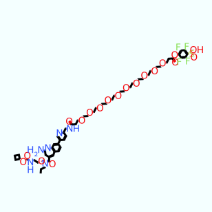 CCCN(OCCNC(=O)OC1CCC1)C(=O)C1=Cc2ccc(-c3ccc(CNC(=O)CCOCCOCCOCCOCCOCCOCCOCCOCCOCCOCCC(=O)Oc4c(F)c(F)c(S(=O)O)c(F)c4F)nc3)cc2N=C(N)C1